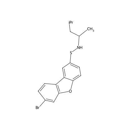 CC(C)CC(C)NSc1ccc2oc3cc(Br)ccc3c2c1